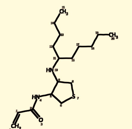 C=CC(=O)NC1CSCC1NC(CCCC)CCCCC